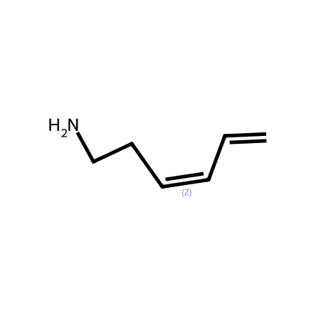 C=C/C=C\CCN